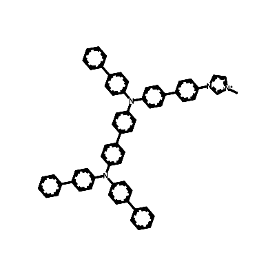 C[n+]1ccn(-c2ccc(-c3ccc(N(c4ccc(-c5ccccc5)cc4)c4ccc(-c5ccc(N(c6ccc(-c7ccccc7)cc6)c6ccc(-c7ccccc7)cc6)cc5)cc4)cc3)cc2)c1